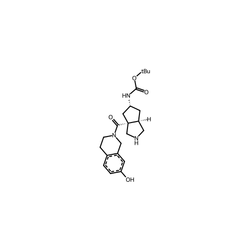 CC(C)(C)OC(=O)N[C@@H]1C[C@H]2CNC[C@@]2(C(=O)N2CCc3ccc(O)cc3C2)C1